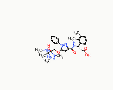 CNC(C)(NC)[C@@](O)(COc1cc(C(=O)N[C@@H](CC(=O)O)c2cccc(C)c2C)nn1-c1ccccc1)NC